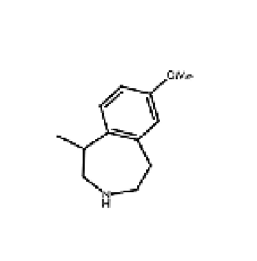 COc1ccc2c(c1)CCNCC2C